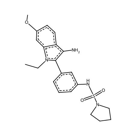 CCn1c(-c2cccc(NS(=O)(=O)N3CCCC3)c2)c(N)c2ccc(OC)cc21